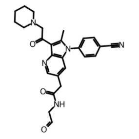 Cc1c(C(=O)CN2CCCCC2)c2ncc(CC(=O)NCC=O)cc2n1-c1ccc(C#N)cc1